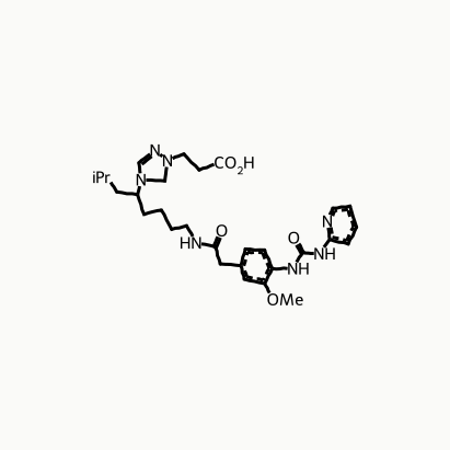 COc1cc(CC(=O)NCCCCC(CC(C)C)N2C=NN(CCC(=O)O)C2)ccc1NC(=O)Nc1ccccn1